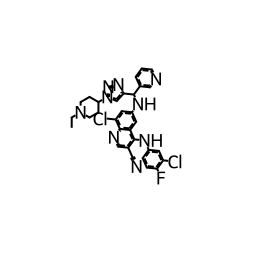 CCN1CCC(n2cc(C(Nc3cc(Cl)c4ncc(C#N)c(Nc5ccc(F)c(Cl)c5)c4c3)c3cccnc3)nn2)CC1